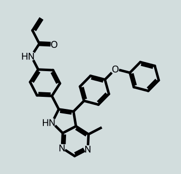 C=CC(=O)Nc1ccc(-c2[nH]c3ncnc(C)c3c2-c2ccc(Oc3ccccc3)cc2)cc1